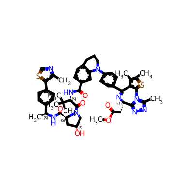 COC(=O)C[C@@H]1N=C(c2ccc(N3CCCc4ccc(C(=O)N[C@H](C(=O)N5C[C@H](O)C[C@H]5C(=O)N[C@@H](C)c5ccc(-c6scnc6C)cc5)C(C)(C)C)cc43)cc2)c2c(sc(C)c2C)-n2c(C)nnc21